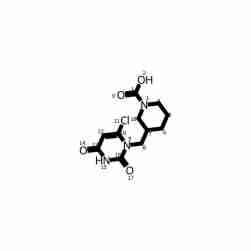 O=C(O)N1CCCC(Cn2c(Cl)cc(=O)[nH]c2=O)C1